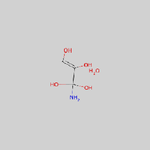 NC(O)(O)/C(O)=C/O.O